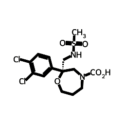 CS(=O)(=O)NC[C@]1(c2ccc(Cl)c(Cl)c2)CN(C(=O)O)CCCO1